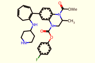 COC(=O)N1c2ccc(C3=C(NC4CCNCC4)CC=CC=C3)cc2N(C(=O)Oc2ccc(F)cc2)CC1C